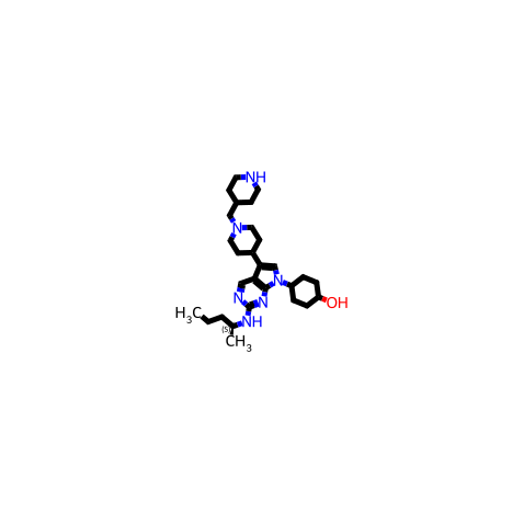 CCC[C@H](C)Nc1ncc2c(C3CCN(CC4CCNCC4)CC3)cn(C3CCC(O)CC3)c2n1